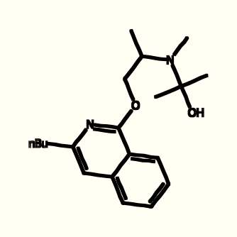 CCCCc1cc2ccccc2c(OCC(C)N(C)C(C)(C)O)n1